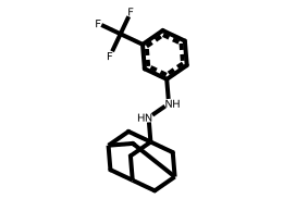 FC(F)(F)c1cccc(NNC23CC4CC(CC(C4)C2)C3)c1